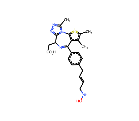 Cc1sc2c(c1C)C(c1ccc(CC=CCNO)cc1)=NC(CC(=O)O)c1nnc(C)n1-2